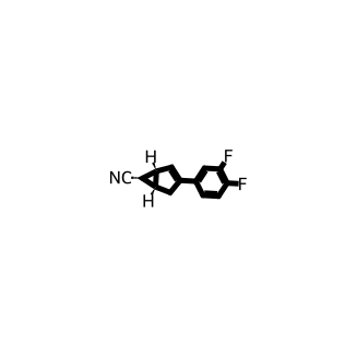 N#C[C@@H]1[C@H]2C=C(c3ccc(F)c(F)c3)C[C@@H]12